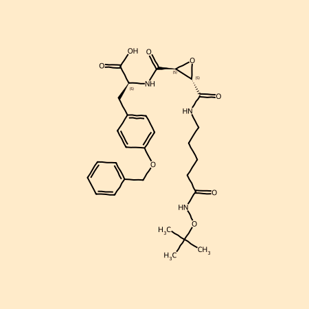 CC(C)(C)ONC(=O)CCCCNC(=O)[C@H]1O[C@@H]1C(=O)N[C@@H](Cc1ccc(OCc2ccccc2)cc1)C(=O)O